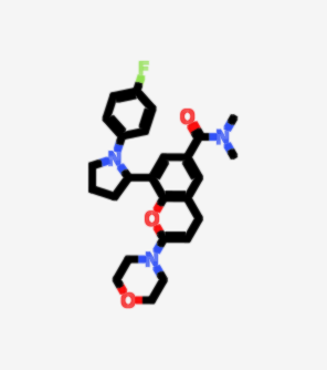 CN(C)C(=O)c1cc2c(c(C3CCCN3c3ccc(F)cc3)c1)OC(N1CCOCC1)=CC2